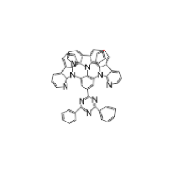 c1ccc(-c2nc(-c3ccccc3)nc(-c3cc(-n4c5ccccc5c5cccnc54)c(-n4c5ccccc5c5cccnc54)c(-n4c5ccccc5c5cccnc54)c3)n2)cc1